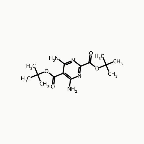 CC(C)(C)OC(=O)c1nc(N)c(C(=O)OC(C)(C)C)c(N)n1